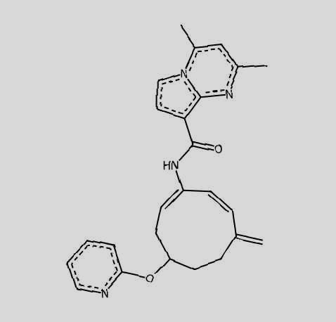 C=C1/C=C\C(NC(=O)c2ccn3c(C)cc(C)nc23)=C/CC(Oc2ccccn2)CC1